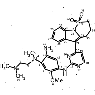 COc1cc(N(C)CCN(C)C)c(N)cc1Nc1nccc(-c2c3n(c4ccccc24)S(=O)(=O)CCC3)n1